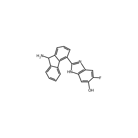 NC1c2ccccc2-c2c(-c3nc4cc(F)c(O)cc4[nH]3)cccc21